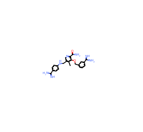 Cc1c(CNc2ccc(C(=N)N)cc2)cnc(C(N)=O)c1OCc1cccc(C(=N)N)c1